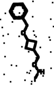 IPOCC1CC(OCc2ccccc2)C1